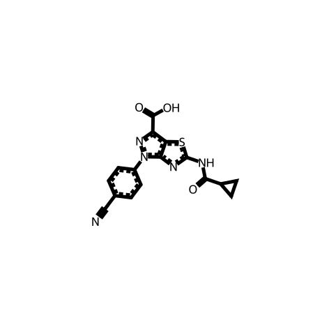 N#Cc1ccc(-n2nc(C(=O)O)c3sc(NC(=O)C4CC4)nc32)cc1